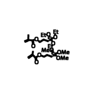 C=C(C)C(=O)OCCC[Si](OC)(OC)OC.C=C(C)C(=O)OCCC[Si](OCC)(OCC)OCC